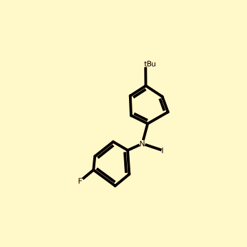 CC(C)(C)c1ccc(N(I)c2ccc(F)cc2)cc1